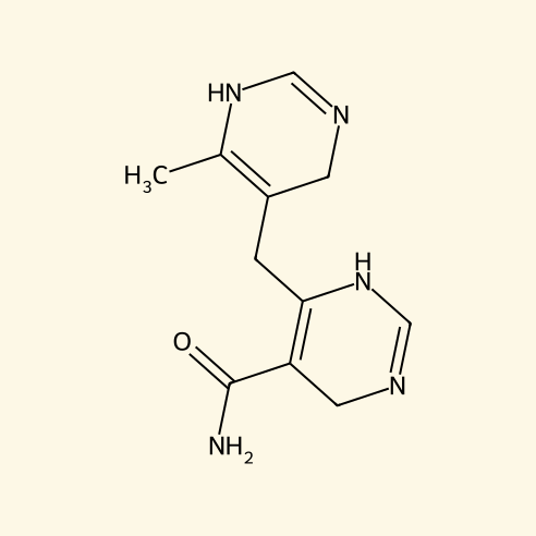 CC1=C(CC2=C(C(N)=O)CN=CN2)CN=CN1